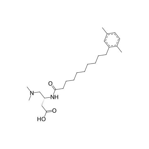 Cc1ccc(C)c(CCCCCCCCCC(=O)N[C@H](CC(=O)O)CN(C)C)c1